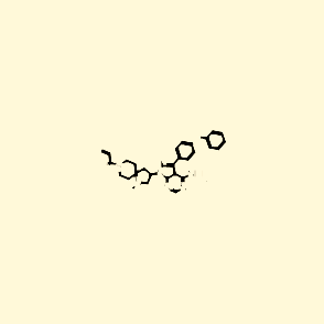 C=CC(=O)N1CCC2(CC1)CC(N1N=C(c3ccc(Oc4ccccc4)cc3)C3C(N)=NC=NC31)CN2C